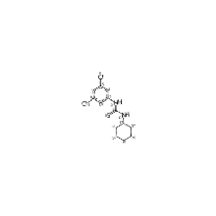 S=C(Nc1cc(Cl)cc(Cl)c1)NC1CCCCC1